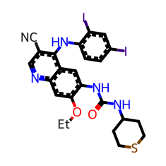 CCOc1cc2ncc(C#N)c(Nc3ccc(I)cc3I)c2cc1NC(=O)NC1CCSCC1